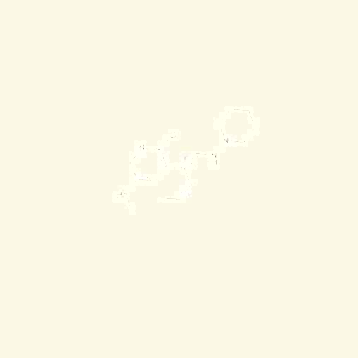 C/C=C\C(=C/NN1CCCCC1)c1cc(NC)cnc1Cl